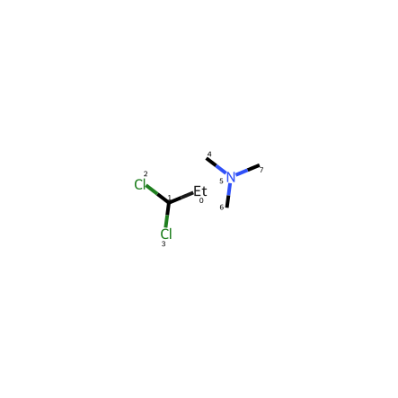 CCC(Cl)Cl.CN(C)C